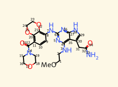 COCCNc1nc(Nc2ccc(C(=O)N3CCOCC3)c3c2OCCO3)nc2[nH]cc(CC(N)=O)c12